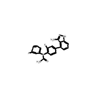 NC(=O)N(c1cccc(F)c1)c1ccc(-c2cccc3[nH]nc(N)c23)cc1F